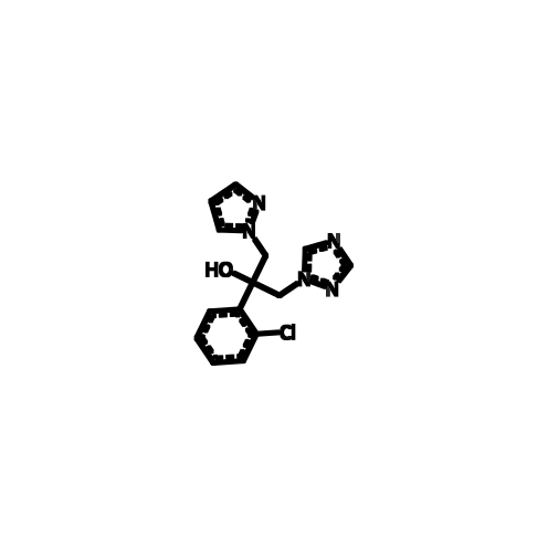 OC(Cn1cccn1)(Cn1cncn1)c1ccccc1Cl